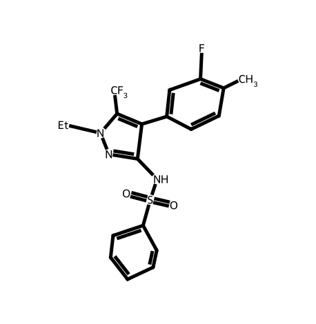 CCn1nc(NS(=O)(=O)c2ccccc2)c(-c2ccc(C)c(F)c2)c1C(F)(F)F